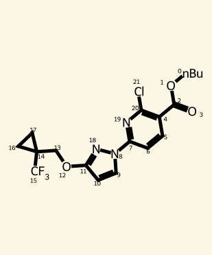 CCCCOC(=O)c1ccc(-n2ccc(OCC3(C(F)(F)F)CC3)n2)nc1Cl